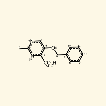 Cc1ncc(OCc2ccccc2)c(C(=O)O)n1